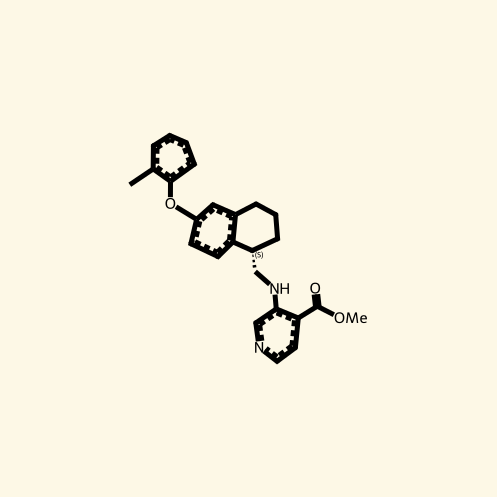 COC(=O)c1ccncc1NC[C@H]1CCCc2cc(Oc3ccccc3C)ccc21